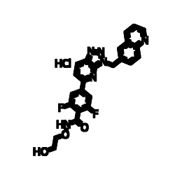 Cl.O=C(NOCCO)c1c(F)cc(-c2ccc3nnn(Cc4ccc5ncccc5c4)c3n2)cc1F